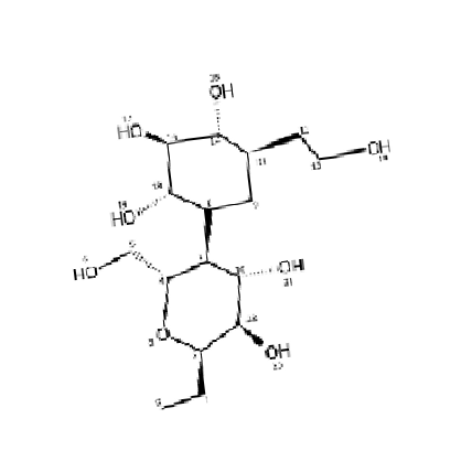 CC[C@H]1O[C@H](CO)[C@@H](C2C[C@H](CCO)[C@@H](O)[C@H](O)[C@H]2O)[C@H](O)[C@H]1O